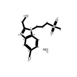 CS(=O)(=O)CCCn1c(CCl)nc2cc(Cl)ccc21.Cl